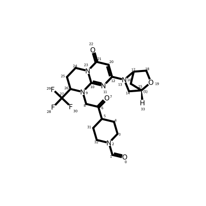 O=CN1CCC(C(=O)CN2c3nc(N4C[C@@H]5CC4CO5)cc(=O)n3CCC2C(F)(F)F)CC1